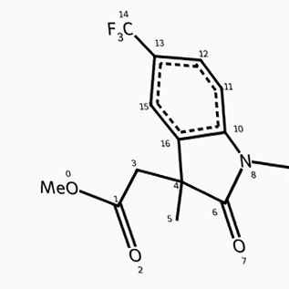 COC(=O)CC1(C)C(=O)N(C)c2ccc(C(F)(F)F)cc21